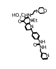 CCn1c(NCCN2CCOCC2)c(C(=O)O)c(=O)c2ccc(-c3ccc(NC(=O)NCc4cccnc4)cc3)nc21